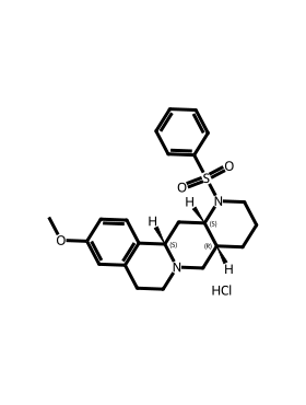 COc1ccc2c(c1)CCN1C[C@H]3CCCN(S(=O)(=O)c4ccccc4)[C@H]3C[C@@H]21.Cl